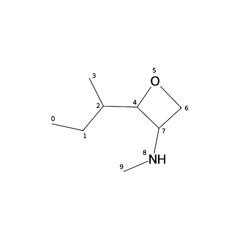 CCC(C)C1OCC1NC